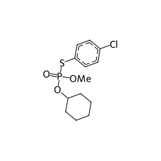 COP(=O)(OC1CCCCC1)Sc1ccc(Cl)cc1